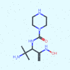 C=C(NO)C(NC(=O)N1CCNCC1)C(C)(C)N